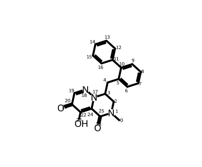 CN1CC(Cc2ccccc2-c2ccccc2)n2ncc(=O)c(O)c2C1=O